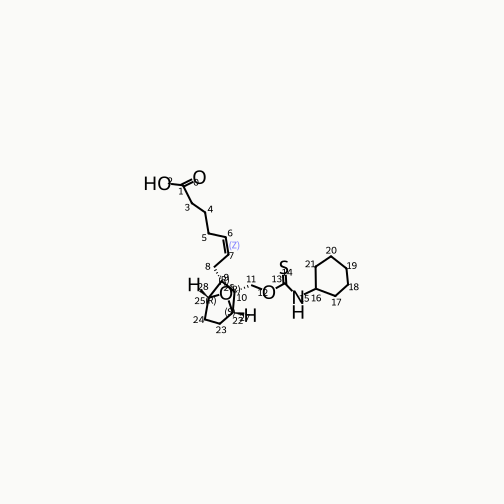 O=C(O)CCC/C=C\C[C@@H]1[C@H](COC(=S)NC2CCCCC2)[C@@H]2CC[C@H]1O2